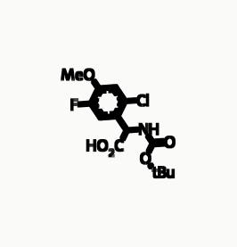 COc1cc(Cl)c(C(NC(=O)OC(C)(C)C)C(=O)O)cc1F